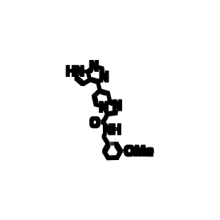 COc1cccc(CNC(=O)c2cnc3cc(-c4ncnc5[nH]ccc45)ccn23)c1